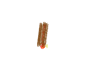 O=[SH](=O)OC(Br)(Br)C(Br)(Br)C(Br)(Br)C(Br)(Br)C(Br)(Br)C(Br)(Br)C(Br)(Br)C(Br)(Br)C(Br)(Br)C(Br)(Br)C(Br)(Br)C(Br)(Br)C(Br)(Br)C(Br)(Br)C(Br)(Br)C(Br)(Br)C(Br)(Br)C(Br)(Br)C(Br)(Br)C(Br)(Br)C(Br)(Br)C(Br)(Br)C(Br)(Br)Br